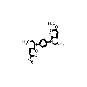 CCN(C(=O)/C=C\C(=O)OC)c1ccc(N(CC)C(=O)/C=C\C(=O)OC)cc1